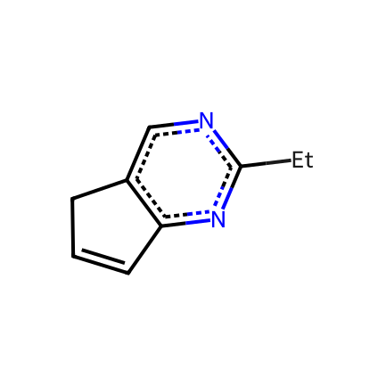 CCc1ncc2c(n1)C=CC2